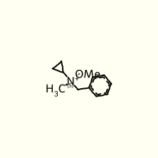 CO[N@@+](C)(Cc1ccccc1)C1CC1